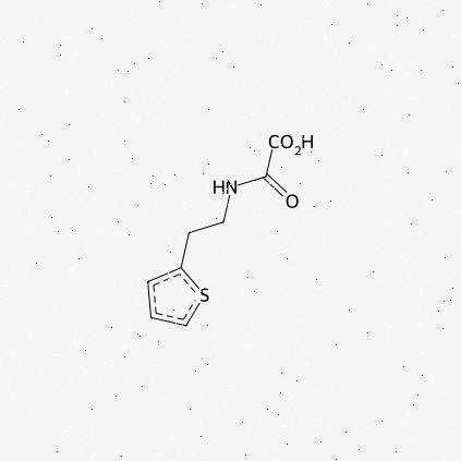 O=C(O)C(=O)NCCc1cccs1